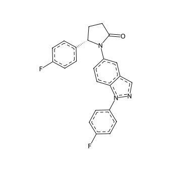 O=C1CC[C@@H](c2ccc(F)cc2)N1c1ccc2c(cnn2-c2ccc(F)cc2)c1